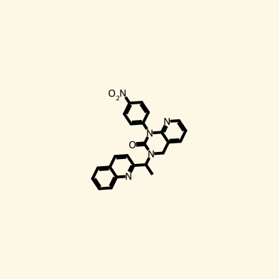 CC(c1ccc2ccccc2n1)N1Cc2cccnc2N(c2ccc([N+](=O)[O-])cc2)C1=O